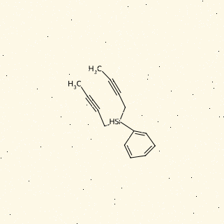 CC#CC[SiH](CC#CC)c1ccccc1